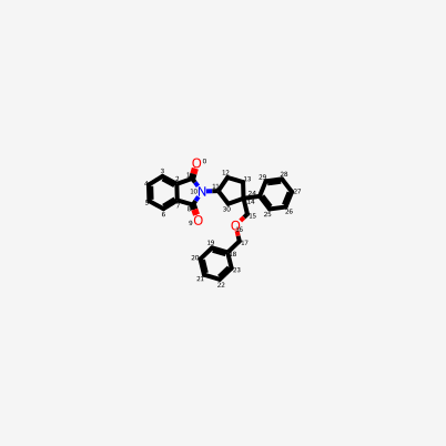 O=C1c2ccccc2C(=O)N1C1CCC(COCc2ccccc2)(c2ccccc2)C1